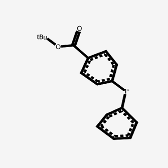 CC(C)(C)OC(=O)c1ccc([I+]c2ccccc2)cc1